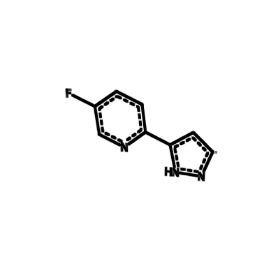 Fc1ccc(-c2c[c]n[nH]2)nc1